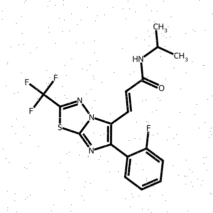 CC(C)NC(=O)/C=C/c1c(-c2ccccc2F)nc2sc(C(F)(F)F)nn12